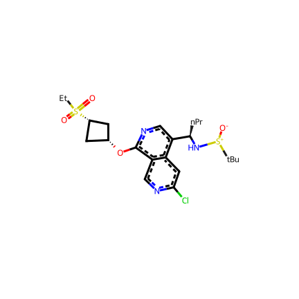 CCC[C@@H](N[S+]([O-])C(C)(C)C)c1cnc(O[C@H]2C[C@@H](S(=O)(=O)CC)C2)c2cnc(Cl)cc12